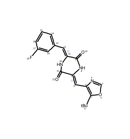 CC(C)(C)c1ocnc1/C=c1\[nH]c(=O)/c(=C/c2cccc(F)c2)[nH]c1=O